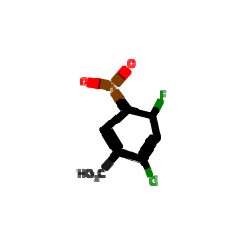 O=C(O)C1=CC(=S(=O)=O)C(F)C=C1Cl